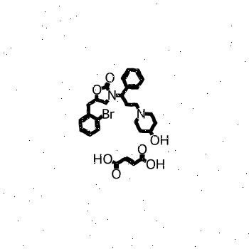 O=C(O)/C=C/C(=O)O.O=C1OC(Cc2ccccc2Br)CN1C(CCN1CCC(O)CC1)c1ccccc1